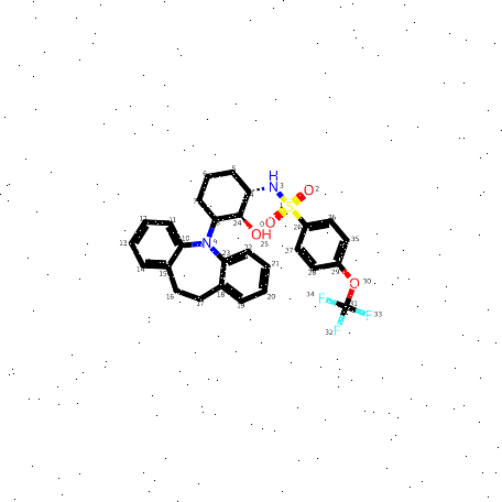 O=S(=O)(N[C@H]1CCCC(N2c3ccccc3CCc3ccccc32)[C@@H]1O)c1ccc(OC(F)(F)F)cc1